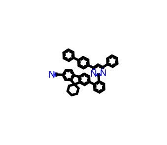 N#Cc1ccc2c(c1)C1(CCCCC1)c1cc(-c3ccccc3-c3nc(-c4ccccc4)cc(-c4ccc(-c5ccccc5)cc4)n3)ccc1-2